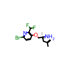 C=C(C)C[C@](C)(N)COc1ccc(Br)nc1C(F)F